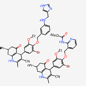 CCCC1CC(=O)C2=C(C1)NC(C)=C(C#N)C2c1cc(Br)c(OCc2cccc(NCc3c[nH]cn3)c2)c(OCC)c1.CCCC1CC(=O)C2=C(C1)NC(C)=C(C#N)C2c1cc(Br)c(OCc2cccnc2NC(=O)OC)c(OCC)c1